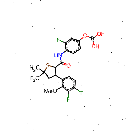 COc1c(C2CC(C)(C(F)(F)F)SC2C(=O)Nc2ccc(OB(O)O)cc2F)ccc(F)c1F